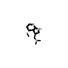 CI.CN(C)Cc1c[nH]c2ncccc12